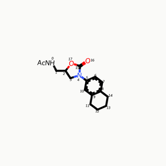 CC(=O)NCC1CN(c2ccc3c(c2)CCCC3)C(=O)O1